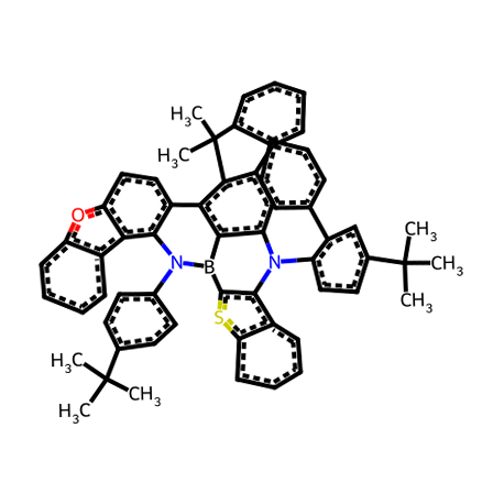 CC(C)(C)c1ccc(N2B3c4sc5ccccc5c4N(c4ccc(C(C)(C)C)cc4-c4ccccc4)c4cc5c(c(c43)-c3ccc4oc6ccccc6c4c32)C(C)(C)c2ccccc2-5)cc1